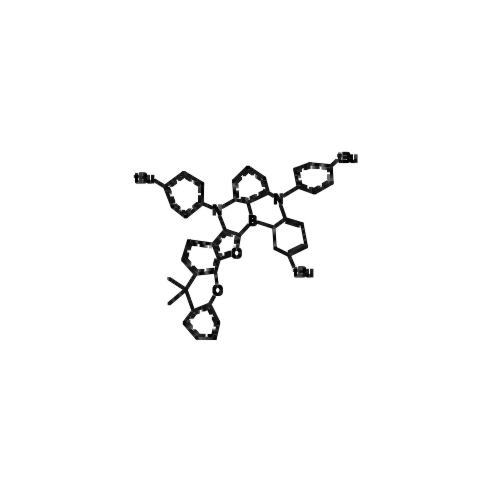 CC(C)(C)C1=CC=C2C(C1)B1c3oc4c5c(ccc4c3N(c3ccc(C(C)(C)C)cc3)c3cccc(c31)N2c1ccc(C(C)(C)C)cc1)C(C)(C)c1ccccc1O5